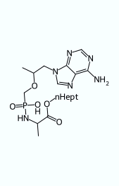 CCCCCCCOC(=O)C(C)NP(=O)(O)COC(C)Cn1cnc2c(N)ncnc21